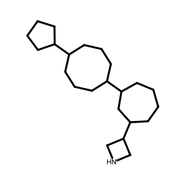 C1CCC(C2CCCC(C3CCCCC(C4CNC4)C3)CCC2)C1